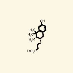 CCOC(=O)CCS[C@@H]1Cc2ccc(O)cc2C(C)(C)[C@H]1N